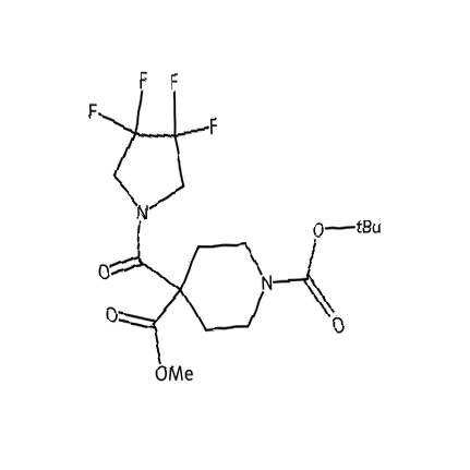 COC(=O)C1(C(=O)N2CC(F)(F)C(F)(F)C2)CCN(C(=O)OC(C)(C)C)CC1